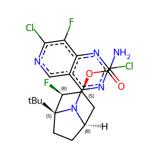 CC(C)(C)[C@@]12CC[C@H](C[C@H](OC(N)=O)[C@@H]1F)N2c1nc(Cl)nc2c(F)c(Cl)ncc12